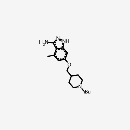 CCC(C)N1CCC(COc2cc(C)c3c(N)n[nH]c3c2)CC1